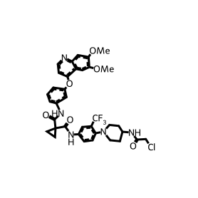 COc1cc2nccc(Oc3cccc(NC(=O)C4(C(=O)Nc5ccc(N6CCC(NC(=O)CCl)CC6)c(C(F)(F)F)c5)CC4)c3)c2cc1OC